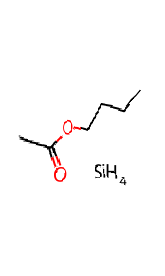 CCCCOC(C)=O.[SiH4]